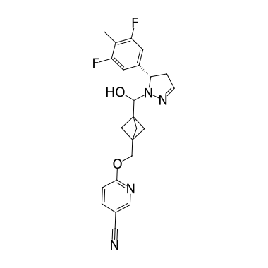 Cc1c(F)cc([C@@H]2CC=NN2C(O)C23CC(COc4ccc(C#N)cn4)(C2)C3)cc1F